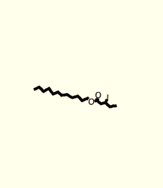 CCCCCCCCCCCCOC(=O)CC(I)CC